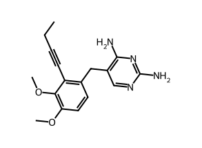 CCC#Cc1c(Cc2cnc(N)nc2N)ccc(OC)c1OC